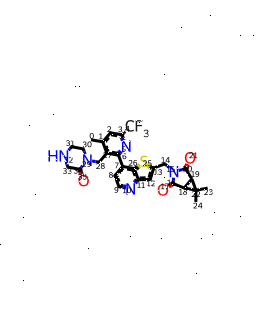 Cc1cc(C(F)(F)F)nc(-c2ccnc3cc(CN4C(=O)C5C(C4=O)C5(C)C)sc23)c1CN1CCNCC1=O